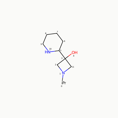 CC(C)N1CC(O)(C2CCCCN2)C1